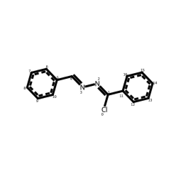 ClC(=NN=Cc1ccccc1)c1ccccc1